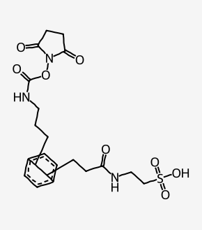 O=C(CCC1c2ccc(cc2)C1CCCNC(=O)ON1C(=O)CCC1=O)NCCS(=O)(=O)O